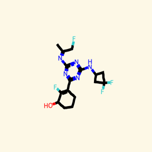 C/C(CF)=N/c1nc(NC2CC(F)(F)C2)nc(C2=C(F)C(O)CCC2)n1